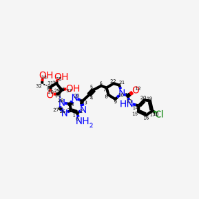 Nc1nc(C#CCC2CCN(C(=O)Nc3ccc(Cl)cc3)CC2)nc2c1ncn2[C@@H]1O[C@H](CO)C(O)C1O